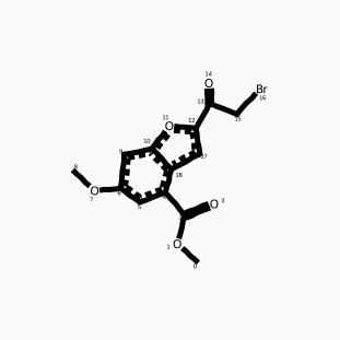 COC(=O)c1cc(OC)cc2oc(C(=O)CBr)cc12